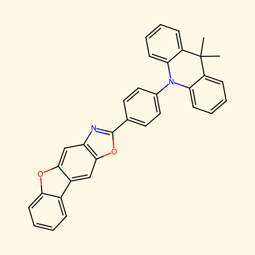 CC1(C)c2ccccc2N(c2ccc(-c3nc4cc5oc6ccccc6c5cc4o3)cc2)c2ccccc21